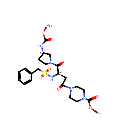 CC(C)(C)OC(=O)N[C@@H]1CCN(C(=O)[C@@H](CC(=O)N2CCN(C(=O)OC(C)(C)C)CC2)NS(=O)(=O)Cc2ccccc2)C1